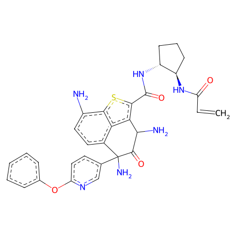 C=CC(=O)N[C@@H]1CCC[C@H]1NC(=O)c1sc2c(N)ccc3c2c1C(N)C(=O)C3(N)c1ccc(Oc2ccccc2)nc1